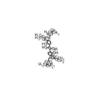 CC(C)(C)OC(=O)CN(CC(=O)OC(C)(C)C)c1ccc(C2C(O)C(c3ccc(N(CC(=O)OC(C)(C)C)CC(=O)OC(C)(C)C)cc3O)C2O)c(O)c1